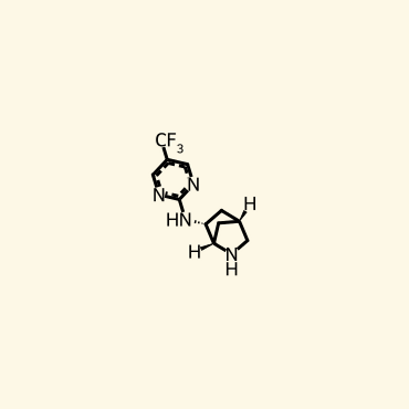 FC(F)(F)c1cnc(N[C@@H]2C[C@@H]3CN[C@H]2C3)nc1